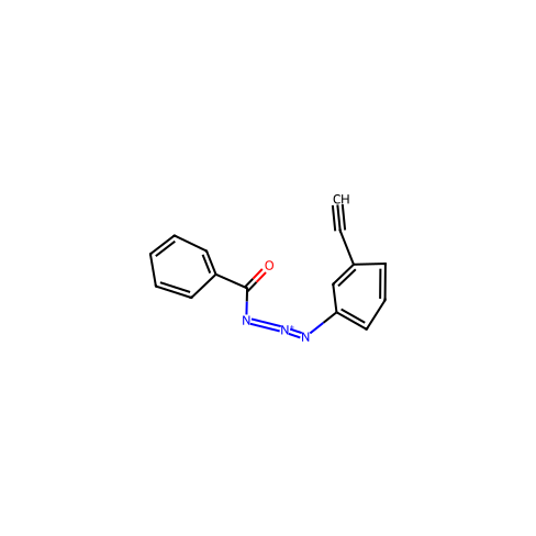 C#Cc1cccc(N=[N+]=NC(=O)c2ccccc2)c1